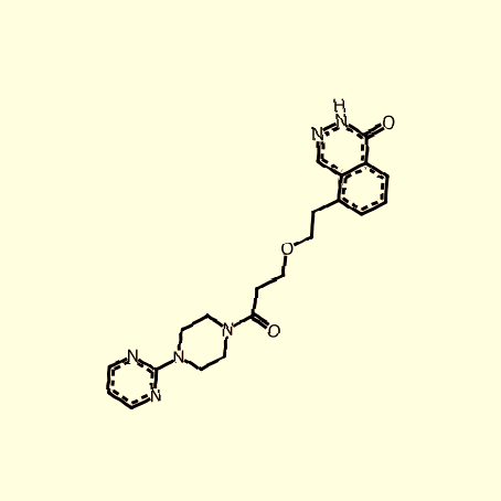 O=C(CCOCCc1cccc2c(=O)[nH]ncc12)N1CCN(c2ncccn2)CC1